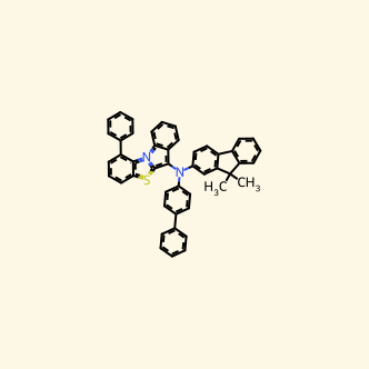 CC1(C)c2ccccc2-c2ccc(N(c3ccc(-c4ccccc4)cc3)c3c4ccccc4n4c3sc3cccc(-c5ccccc5)c34)cc21